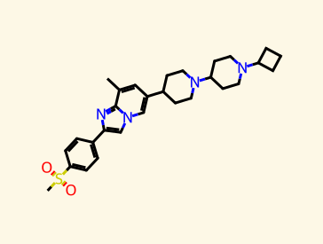 Cc1cc(C2CCN(C3CCN(C4CCC4)CC3)CC2)cn2cc(-c3ccc(S(C)(=O)=O)cc3)nc12